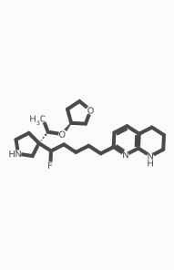 CC(O[C@H]1CCOC1)[C@@]1(C(F)CCCCc2ccc3c(n2)NCCC3)CCNC1